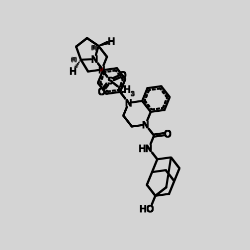 CS(=O)(=O)N1C[C@H]2CC[C@H](C1)N2c1ccc(N2CCN(C(=O)NC3C4CC5CC3CC(O)(C5)C4)c3ccccc32)cc1